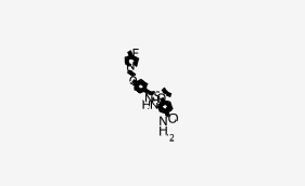 CC(C)Oc1ccc(C(N)=O)cc1Nc1nc(-c2ccc(OCCN3CCC(C)(F)CC3)cc2)cs1